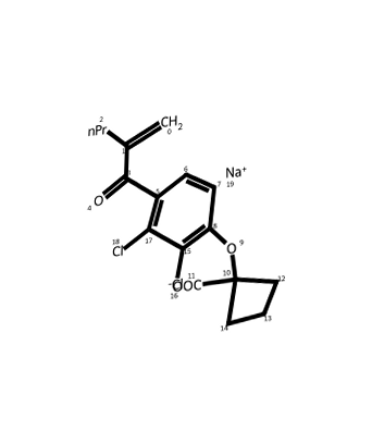 C=C(CCC)C(=O)c1ccc(OC2(C(=O)[O-])CCC2)c(Cl)c1Cl.[Na+]